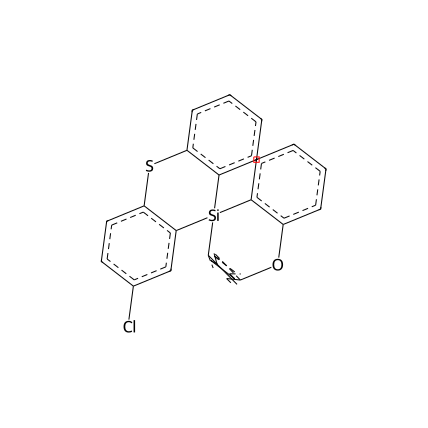 Clc1ccc2c(c1)[Si]1(c3ccccc3Oc3ccccc31)c1ccccc1S2